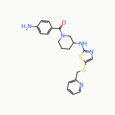 Nc1ccc(C(=O)N2CCCC(Nc3ncc(SCc4ccccn4)s3)C2)cc1